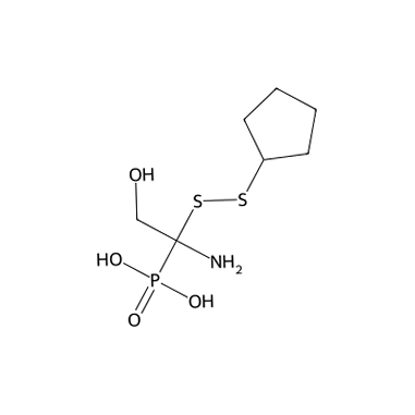 NC(CO)(SSC1CCCC1)P(=O)(O)O